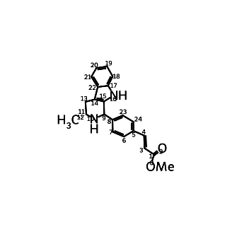 COC(=O)/C=C/c1ccc(C2N[C@H](C)Cc3c2[nH]c2ccccc32)cc1